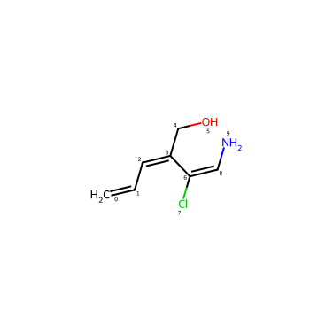 C=C/C=C(CO)\C(Cl)=C/N